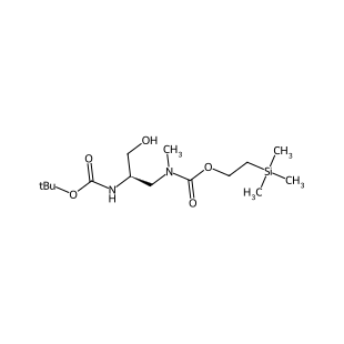 CN(C[C@H](CO)NC(=O)OC(C)(C)C)C(=O)OCC[Si](C)(C)C